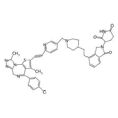 Cc1c(C#Cc2ccc(CN3CCC(CCc4cccc5c4CN(C4CCC(=O)NC4=O)C5=O)CC3)cn2)sc2c1C(c1ccc(Cl)cc1)=NCc1nnc(C)n1-2